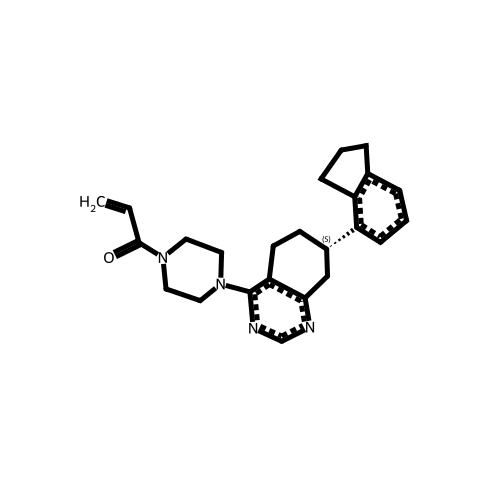 C=CC(=O)N1CCN(c2ncnc3c2CC[C@H](c2cccc4c2CCC4)C3)CC1